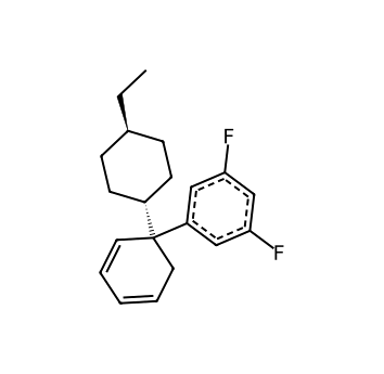 CC[C@H]1CC[C@H](C2(c3cc(F)cc(F)c3)C=CC=CC2)CC1